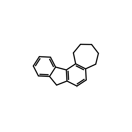 [c]1cc2c(c3c1Cc1ccccc1-3)CCCCC2